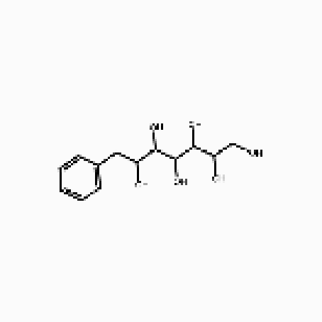 OCC(O)C(O)C(O)C(O)C(O)Cc1ccccc1